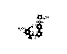 COCc1cc(C2(C(=O)Nc3cccc(-c4ccc(S(=O)(=O)N5CCC[C@@H]5CO)cc4)n3)CC2)ccc1OC